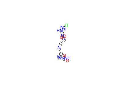 Cn1nc(N2CCC(=O)NC2=O)c2ccc(C3CCN(Cc4ccc(C5CCCN(S(=O)(=O)N6CCC(Nc7ncc(Cl)cn7)CC6)C5)cc4)CC3)cc21